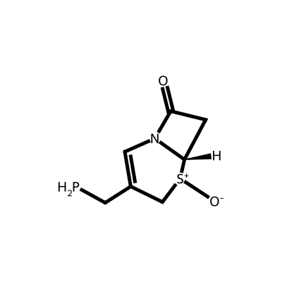 O=C1C[C@H]2N1C=C(CP)C[S+]2[O-]